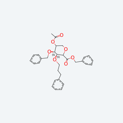 CC(=O)OC1COC(C(=O)OCc2ccccc2)[C@@H](OCCCc2ccccc2)[C@H]1OCc1ccccc1